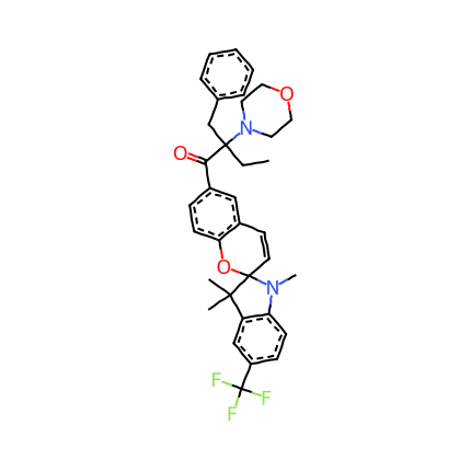 CCC(Cc1ccccc1)(C(=O)c1ccc2c(c1)C=CC1(O2)N(C)c2ccc(C(F)(F)F)cc2C1(C)C)N1CCOCC1